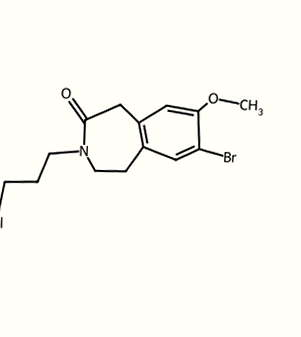 COc1cc2c(cc1Br)CCN(CCCCl)C(=O)C2